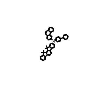 CC1(C)c2ccccc2-c2ccc3c(c21)C(C)(C)c1cc(N(c2ccc(-c4ccccc4)cc2)c2ccc4ccc5ccccc5c4c2)ccc1-3